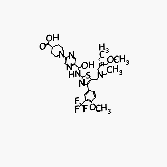 CC[C@H](COC)CN(CC)Cc1sc(NC(O)c2cnc(N3CCC(C(=O)O)CC3)cn2)nc1-c1ccc(OC)c(C(F)(F)F)c1